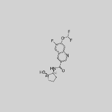 O=C(N[C@H]1CCC[C@H]1O)c1cnc2cc(OC(F)F)c(F)cc2c1